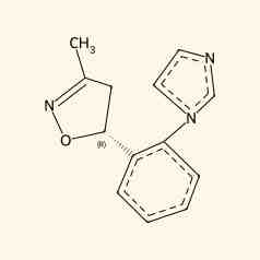 CC1=NO[C@@H](c2ccccc2-n2ccnc2)C1